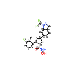 Cc1c(F)cccc1C1C=C(c2ccc3cnn(C(F)F)c3c2)CC1C(=O)NO